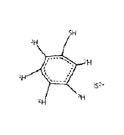 [2H]c1c([2H])c([2H])c(S)c([2H])c1[2H].[S+2]